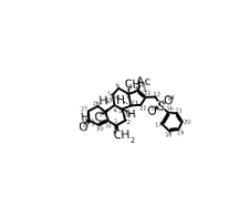 C=C1C[C@@H]2[C@H](CC[C@]3(C)C(C(C)=O)=C(CS(=O)(=O)c4ccccc4)C[C@@H]23)[C@@]2(C)CCC(=O)C=C12